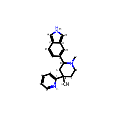 CN1CCC(C#N)(c2ccccn2)CC1c1ccc2c[nH]cc2c1